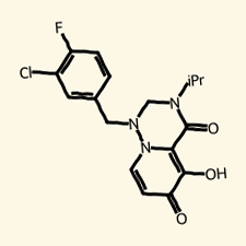 CC(C)N1CN(Cc2ccc(F)c(Cl)c2)n2ccc(=O)c(O)c2C1=O